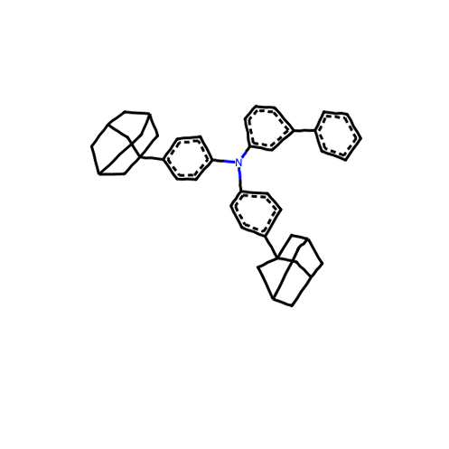 c1ccc(-c2cccc(N(c3ccc(C45CC6CC(CC(C6)C4)C5)cc3)c3ccc(C45CC6CC(CC(C6)C4)C5)cc3)c2)cc1